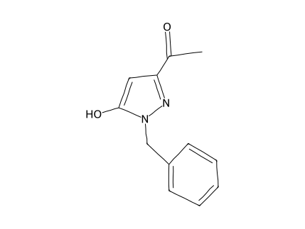 CC(=O)c1cc(O)n(Cc2ccccc2)n1